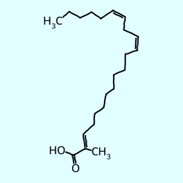 CCCCC/C=C\C/C=C\CCCCCCCC/C=C(\C)C(=O)O